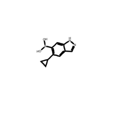 OB(O)c1cc2[nH]ncc2cc1C1CC1